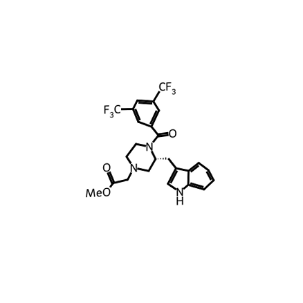 COC(=O)CN1CCN(C(=O)c2cc(C(F)(F)F)cc(C(F)(F)F)c2)[C@H](Cc2c[nH]c3ccccc23)C1